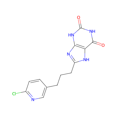 O=c1[nH]c(=O)c2[nH]c(CCCc3ccc(Cl)nc3)nc2[nH]1